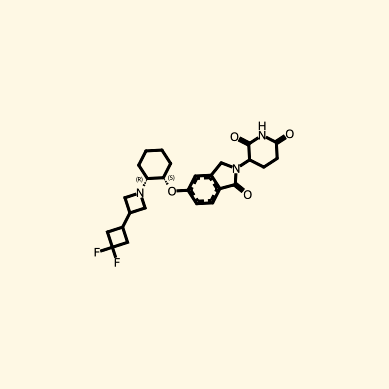 O=C1CCC(N2Cc3cc(O[C@H]4CCCC[C@H]4N4CC(C5CC(F)(F)C5)C4)ccc3C2=O)C(=O)N1